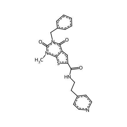 Cn1c(=O)n(Cc2ccccc2)c(=O)c2cc(C(=O)NCCc3ccncc3)sc21